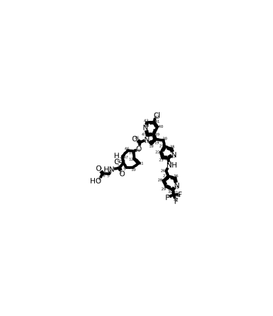 C[C@@]1(C(=O)NCC(=O)O)CC/C=C/C(OC(=O)n2cc(Cc3ccc(NCc4ccc(C(F)(F)F)nc4)nc3)c3cc(Cl)cnc32)CC1